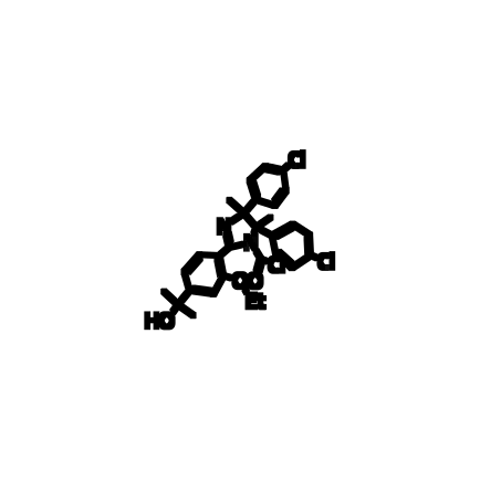 CCOc1cc(C(C)(C)O)ccc1C1=NC(C)(c2ccc(Cl)cc2)C(C)(c2ccc(Cl)cc2)N1C(=O)Cl